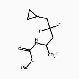 CC(C)(C)OC(=O)NC(CC(F)(F)CC1CC1)C(=O)O